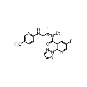 CCN(C(=O)c1cc(F)cnc1-n1nccn1)[C@@H](C)CNc1ccc(C(F)(F)F)cn1